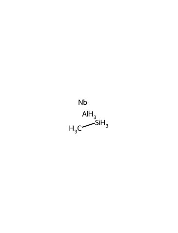 C[SiH3].[AlH3].[Nb]